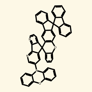 c1ccc2c(c1)Oc1ccccc1N2c1cnc2c(c1)C1(c3ccccc3Oc3cc4c(cc31)-c1ccccc1C41c3ccccc3-c3ccccc31)c1cccnc1-2